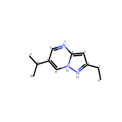 CCc1cc2ncc(C(C)C)cn2n1